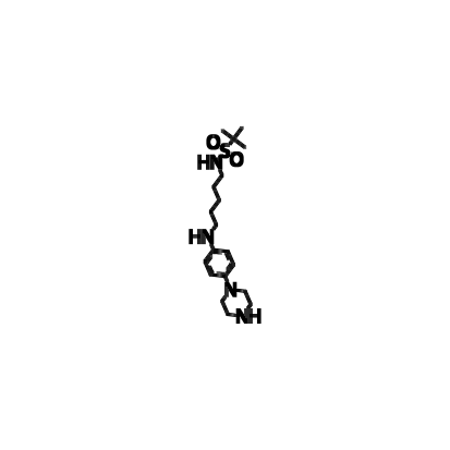 CC(C)(C)S(=O)(=O)NCCCCCNc1ccc(N2CCNCC2)cc1